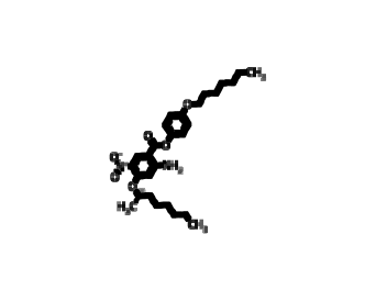 CCCCCCCOc1ccc(OC(=O)c2cc([N+](=O)[O-])c(O[C@H](C)CCCCCC)cc2N)cc1